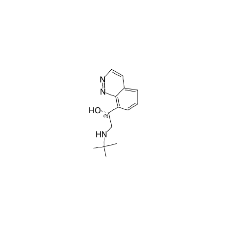 CC(C)(C)NC[C@H](O)c1cccc2ccnnc12